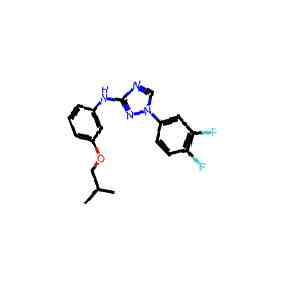 CC(C)COc1cccc(Nc2ncn(-c3ccc(F)c(F)c3)n2)c1